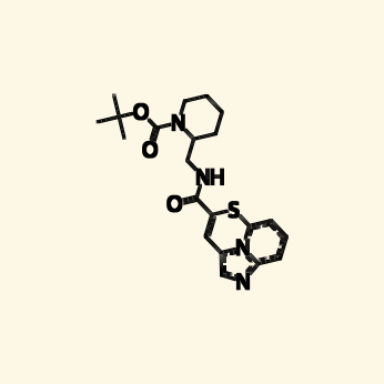 CC(C)(C)OC(=O)N1CCCCC1CNC(=O)C1=Cc2cnc3cccc(n23)S1